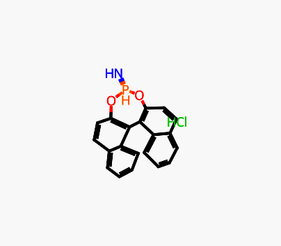 Cl.N=[PH]1Oc2ccc3ccccc3c2-c2c(ccc3ccccc23)O1